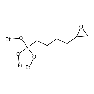 CCO[Si](CCCCC1CO1)(OCC)OCC